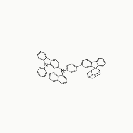 c1ccc(-n2c3ccccc3c3ccc(N(c4ccc(-c5ccc6c(c5)C5(c7ccccc7-6)C6CC7CC(C6)CC5C7)cc4)c4cccc5ccccc45)cc32)cc1